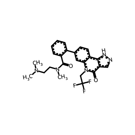 CN(C)CCN(C)C(=O)c1ccccc1-c1ccc2c3[nH]ncc3c(=O)n(CC(F)(F)F)c2c1